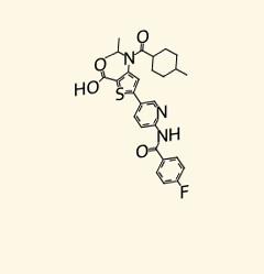 CC1CCC(C(=O)N(c2cc(-c3ccc(NC(=O)c4ccc(F)cc4)nc3)sc2C(=O)O)C(C)C)CC1